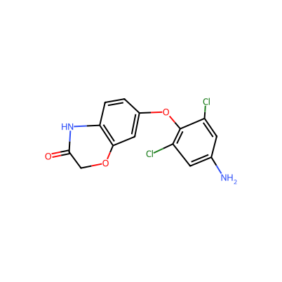 Nc1cc(Cl)c(Oc2ccc3c(c2)OCC(=O)N3)c(Cl)c1